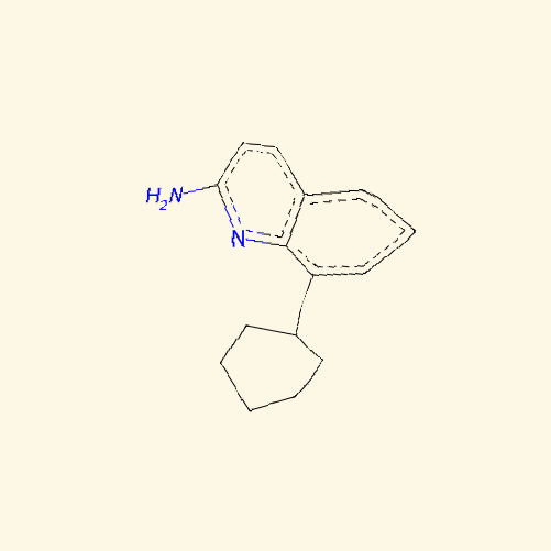 Nc1ccc2cccc(C3CCCCC3)c2n1